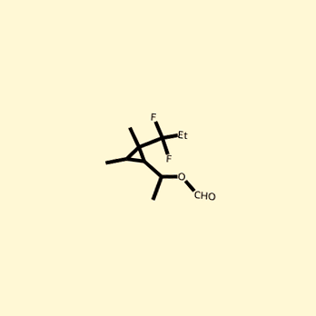 CCC(F)(F)C1(C)C(C)C1C(C)OC=O